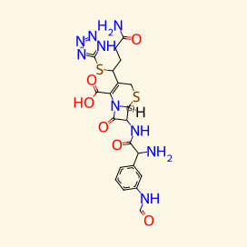 NC(=O)CCC(Sc1nnn[nH]1)C1=C(C(=O)O)N2C(=O)C(NC(=O)C(N)c3cccc(NC=O)c3)[C@@H]2SC1